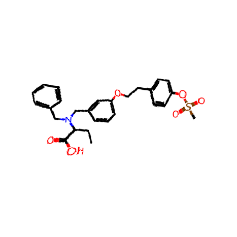 CCC(C(=O)O)N(Cc1ccccc1)Cc1cccc(OCCc2ccc(OS(C)(=O)=O)cc2)c1